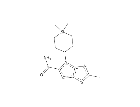 Cc1nc2c(cc(C(N)=O)n2C2CC[Si](C)(C)CC2)s1